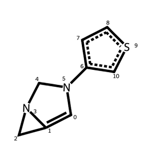 C1=C2CN2CN1c1ccsc1